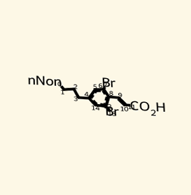 CCCCCCCCCCCCc1cc(Br)c(C=CC(=O)O)c(Br)c1